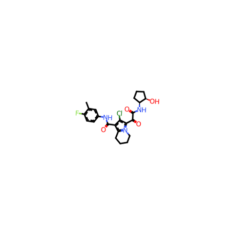 Cc1cc(NC(=O)c2c(Cl)c(C(=O)C(=O)N[C@H]3CCC[C@H]3O)n3c2CCCC3)ccc1F